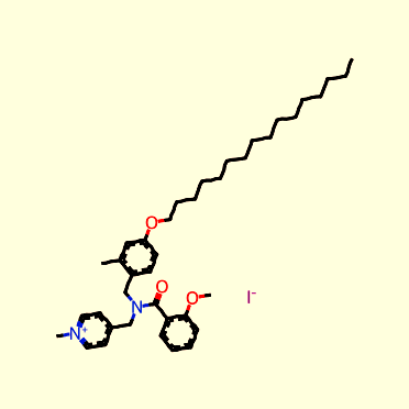 CCCCCCCCCCCCCCCCOc1ccc(CN(Cc2cc[n+](C)cc2)C(=O)c2ccccc2OC)c(C)c1.[I-]